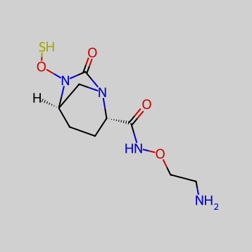 NCCONC(=O)[C@@H]1CC[C@@H]2CN1C(=O)N2OS